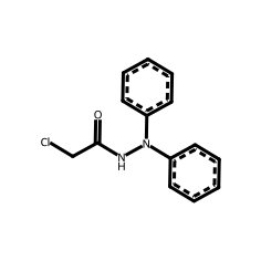 O=C(CCl)NN(c1ccccc1)c1ccccc1